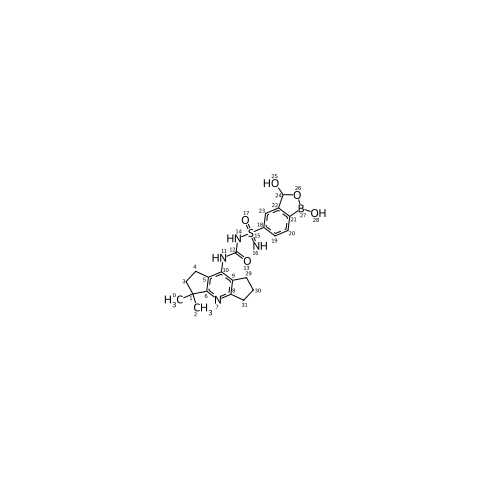 CC1(C)CCc2c1nc1c(c2NC(=O)NS(=N)(=O)c2ccc3c(c2)C(O)OB3O)CCC1